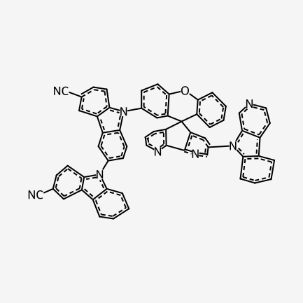 N#Cc1ccc2c(c1)c1ccccc1n2-c1ccc2c(c1)c1cc(C#N)ccc1n2-c1ccc2c(c1)C1(c3ccccc3O2)c2cccnc2-c2ncc(-n3c4ccccc4c4ccncc43)cc21